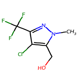 Cn1nc(C(F)(F)F)c(Cl)c1CO